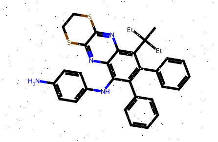 CCC(C)(CC)c1c(-c2ccccc2)c(-c2ccccc2)c(Nc2ccc(N)cc2)c2nc3c(nc12)SCCS3